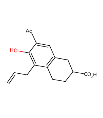 C=CCc1c(O)c(C(C)=O)cc2c1CCC(C(=O)O)C2